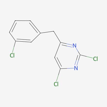 Clc1cccc(Cc2cc(Cl)nc(Cl)n2)c1